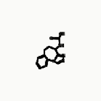 O=C(O)NC1CCc2ccccc2-n2cnnc21